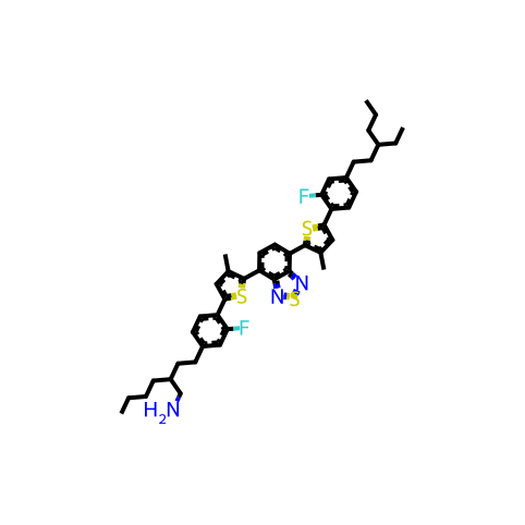 CCCCC(CN)CCc1ccc(-c2cc(C)c(-c3ccc(-c4sc(-c5ccc(CCC(CC)CCC)cc5F)cc4C)c4nsnc34)s2)c(F)c1